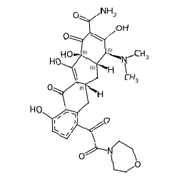 CN(C)[C@@H]1C(O)=C(C(N)=O)C(=O)[C@@]2(O)C(O)=C3C(=O)c4c(O)ccc(C(=O)C(=O)N5CCOCC5)c4C[C@H]3C[C@@H]12